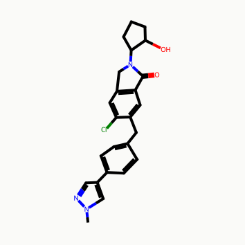 Cn1cc(-c2ccc(Cc3cc4c(cc3Cl)CN(C3CCCC3O)C4=O)cc2)cn1